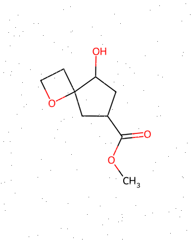 COC(=O)C1CC(O)C2(CCO2)C1